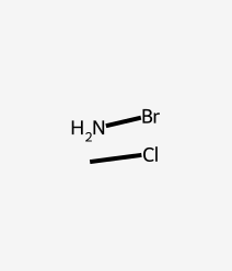 CCl.NBr